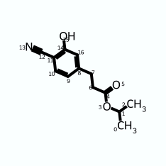 CC(C)OC(=O)CCc1ccc(C#N)c(O)c1